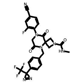 CNC(=O)N1CC2(C1)C(=O)N(c1ccc(C#N)cc1F)CC(=O)N2Cc1ccc(C2(C(F)(F)F)N=N2)cc1